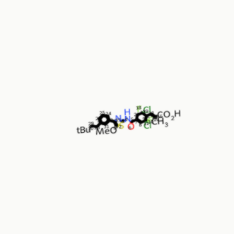 COc1sc(NC(=O)C2=CC(F)(Cl)C(C=C(C)C(=O)O)C(F)(Cl)C2)nc1-c1cccc(CCC(C)(C)C)c1